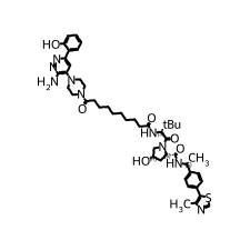 Cc1ncsc1-c1ccc([C@H](C)NC(=O)[C@@H]2C[C@@H](O)CN2C(=O)[C@@H](NC(=O)CCCCCCCCC(=O)N2CCN(c3cc(-c4ccccc4O)nnc3N)CC2)C(C)(C)C)cc1